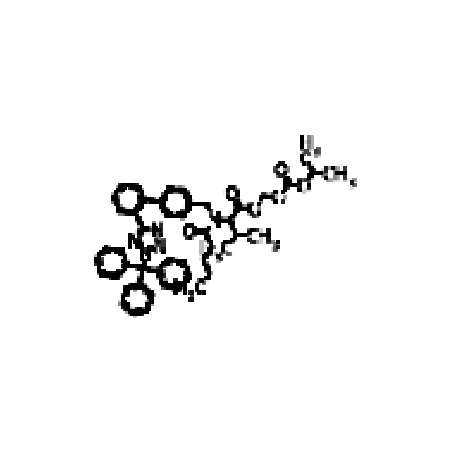 CCCCC(=O)N(Cc1ccc(-c2ccccc2-c2nnn(C(c3ccccc3)(c3ccccc3)c3ccccc3)n2)cc1)C(C(=O)OCOC(=O)OC(C)C)C(C)C